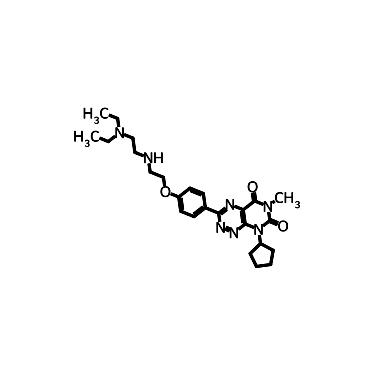 CCN(CC)CCNCCOc1ccc(-c2nnc3c(n2)c(=O)n(C)c(=O)n3C2CCCC2)cc1